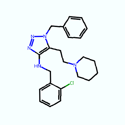 Clc1ccccc1CNc1nnn(Cc2ccccc2)c1CCN1CCCCC1